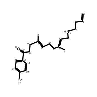 C=CCCNCC=C(C)CCC=C(C)CCC(=O)c1ccc(Br)cc1